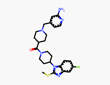 CSc1nc2cc(F)ccc2n1C1CCN(C(=O)C2CCN(Cc3ccnc(N)c3)CC2)CC1